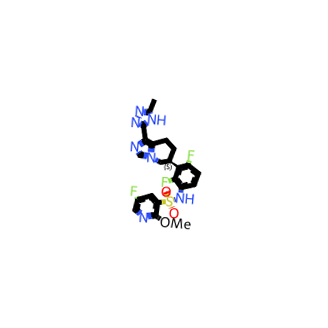 COc1ncc(F)cc1S(=O)(=O)Nc1ccc(F)c([C@@H]2CCc3c(-c4nnc(C)[nH]4)ncn3C2)c1F